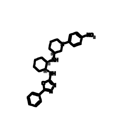 O=[N+]([O-])c1ccc(N2CCC[C@H](N[C@@H]3CCCC[C@H]3Nc3nnc(-c4ccccc4)o3)C2)cc1